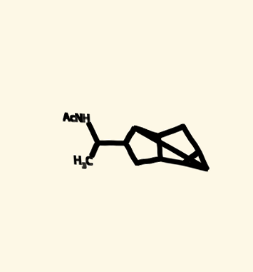 CC(=O)NC(C)C1CC2C3CC4C2C4C13